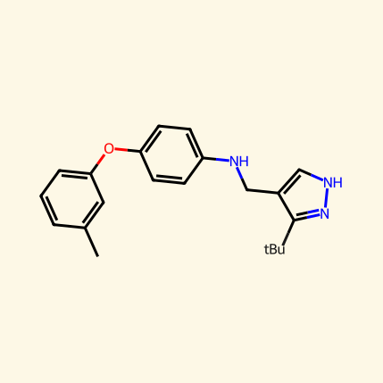 Cc1cccc(Oc2ccc(NCc3c[nH]nc3C(C)(C)C)cc2)c1